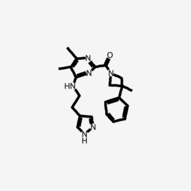 Cc1nc(C(=O)N2CC(C)(c3ccccc3)C2)nc(NCCc2cn[nH]c2)c1C